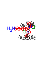 CC(=O)OC[C@H]1O[C@@H](Oc2cc3c(c4ccccc24)[C@H](CCl)CN3C(=O)/C=C/C2=C(OCCOCCOCCOCCOCCOCCOCCOCCN)CC(CCC(=O)N3C[C@@H](CCl)c4c3ccc3c(O[C@@H]5O[C@H](COC(C)=O)[C@H](OC(C)=O)[C@H](OC(C)=O)[C@H]5OC(C)=O)cccc43)C=C2)[C@H](OC(C)=O)[C@@H](OC(C)=O)[C@H]1OC(C)=O